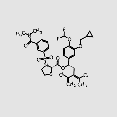 C=C(Cl)/C(C[C@H](OC(=O)[C@@H]1SCCN1S(=O)(=O)c1cccc(C(=O)N(C)C)c1)c1ccc(OC(F)F)c(OCC2CC2)c1)=C(\C)Cl